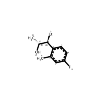 CC[C@@H](c1ccc(F)cc1C)[C@@H](C)O